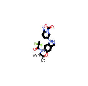 CC[C@@H](Oc1ccc2c(cnn2-c2ccc3noc(=O)n3c2)c1)[C@@H](NC(=O)C(C)(F)F)C(C)C